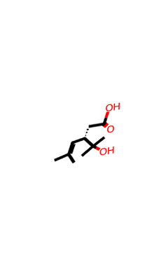 CC(C)=C[C@H](CC(=O)O)C(C)(C)O